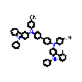 Cc1ccccc1-c1cc(N(c2ccc(C#N)cc2)c2ccc(-c3ccc(N(c4ccc(C#N)cc4)c4ccc5c(c4)c4ccccc4n5-c4ccccc4)cc3)cc2)ccc1NC1C=CC=CC1